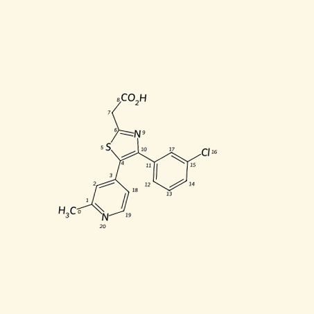 Cc1cc(-c2sc(CC(=O)O)nc2-c2cccc(Cl)c2)ccn1